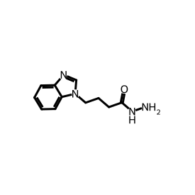 NNC(=O)CCCn1cnc2ccccc21